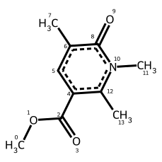 COC(=O)c1cc(C)c(=O)n(C)c1C